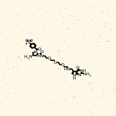 Nc1nc2[nH]cc(CNCCOCCOCCOCCNC(=O)[C@@H]3C[C@H](N)CN3C(=O)c3ccc(S(=O)(=O)F)cc3)c2c(=O)[nH]1